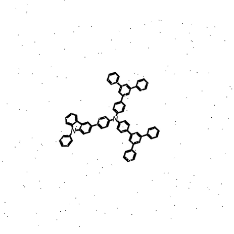 c1ccc(-c2cc(-c3ccccc3)cc(-c3ccc(N(c4ccc(-c5cc(-c6ccccc6)cc(-c6ccccc6)c5)cc4)c4ccc(-c5ccc6c(c5)c5ccccc5n6-c5ccccc5)cc4)cc3)c2)cc1